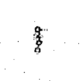 CCCCc1ccccc1CC(CC)(C(=O)c1ccc(N2CCOCC2)cc1)N(C)C